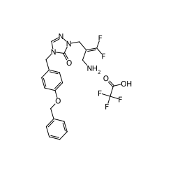 NCC(Cn1ncn(Cc2ccc(OCc3ccccc3)cc2)c1=O)=C(F)F.O=C(O)C(F)(F)F